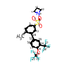 Cc1ccc(S(=O)(=O)ON2CCC2)cc1-c1ccc(OC(F)(F)F)c(C(F)(F)F)c1